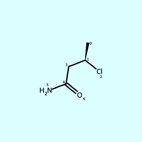 C[C@@H](Cl)CC(N)=O